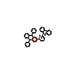 c1ccc(C23c4ccccc4C(c4ccccc4)(c4ccccc42)c2cc(-c4cccc(-n5c6ccccc6c6ccccc65)n4)ccc23)cc1